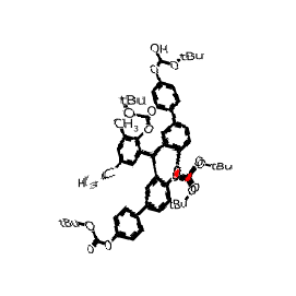 Cc1cc(C)c(OC(=O)OC(C)(C)C)c(C(c2cc(-c3ccc(OC(=O)OC(C)(C)C)cc3)ccc2OC(=O)OC(C)(C)C)c2cc(-c3ccc(OC(O)OC(C)(C)C)cc3)ccc2OC(=O)OC(C)(C)C)c1